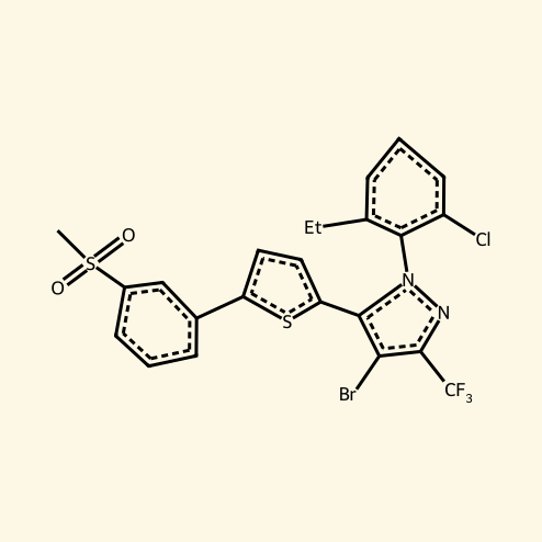 CCc1cccc(Cl)c1-n1nc(C(F)(F)F)c(Br)c1-c1ccc(-c2cccc(S(C)(=O)=O)c2)s1